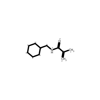 C=C(C)C(=O)NCC1CCCCC1